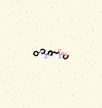 O=C(C=Cc1ccc(N[C@@H]2CCCN(C3CCCCC3)C2)nc1)NOC1CCCCO1